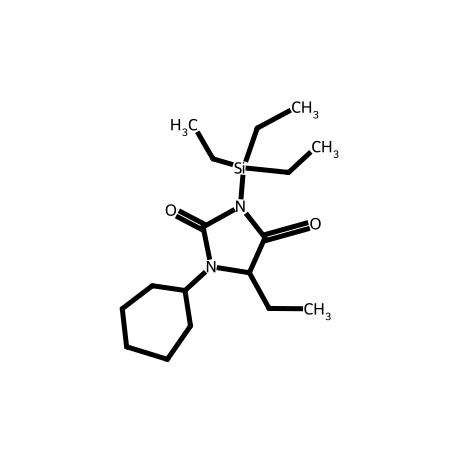 CCC1C(=O)N([Si](CC)(CC)CC)C(=O)N1C1CCCCC1